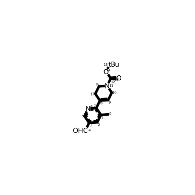 Cc1cc(C=O)cnc1C1=CCN(C(=O)OC(C)(C)C)CC1